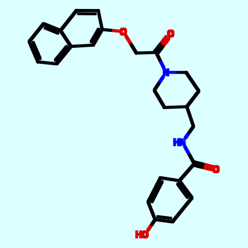 O=C(NCC1CCN(C(=O)COc2ccc3ccccc3c2)CC1)c1ccc(O)cc1